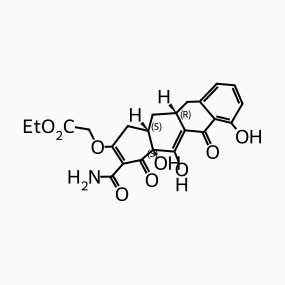 CCOC(=O)COC1=C(C(N)=O)C(=O)[C@@]2(O)C(O)=C3C(=O)c4c(O)cccc4C[C@H]3C[C@H]2C1